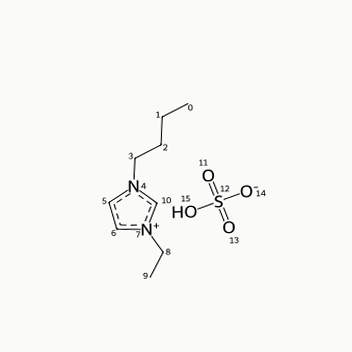 CCCCn1cc[n+](CC)c1.O=S(=O)([O-])O